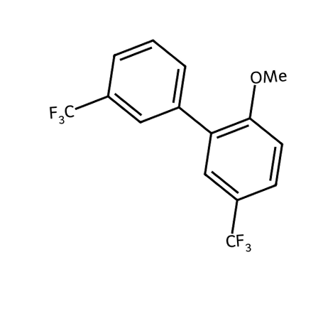 COc1ccc(C(F)(F)F)cc1-c1cccc(C(F)(F)F)c1